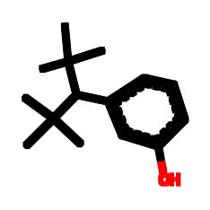 CC(C)(C)C(c1cccc(O)c1)C(C)(C)C